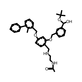 CC(=O)NCCNCc1ccc(OCc2cccc(-c3ccccc3)c2C)cc1OCc1cccc(C(O)OC(C)(C)C)c1